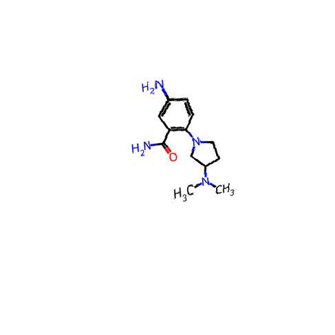 CN(C)C1CCN(c2ccc(N)cc2C(N)=O)C1